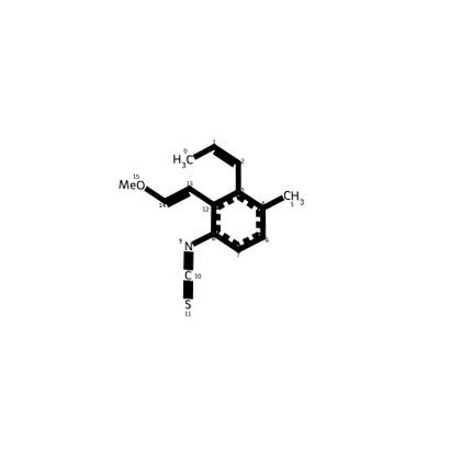 C/C=C\c1c(C)ccc(N=C=S)c1/C=C/OC